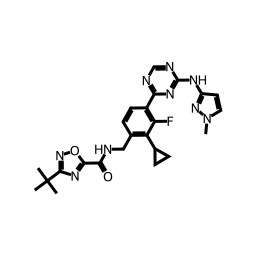 Cn1ccc(Nc2ncnc(-c3ccc(CNC(=O)c4nc(C(C)(C)C)no4)c(C4CC4)c3F)n2)n1